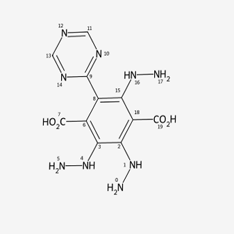 NNc1c(NN)c(C(=O)O)c(-c2ncncn2)c(NN)c1C(=O)O